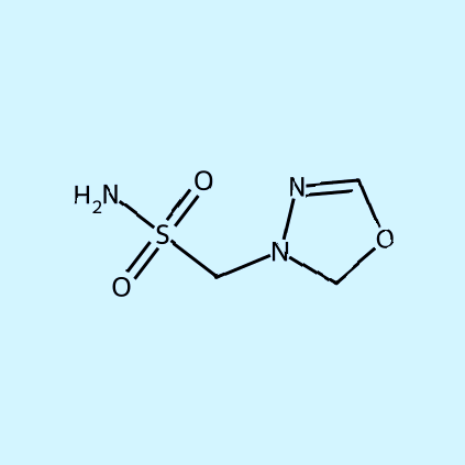 NS(=O)(=O)CN1COC=N1